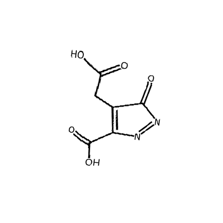 O=C(O)CC1=C(C(=O)O)N=NC1=O